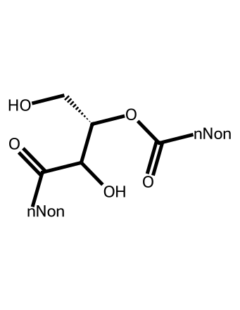 CCCCCCCCCC(=O)O[C@@H](CO)C(O)C(=O)CCCCCCCCC